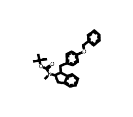 CN(C(=O)OC(C)(C)C)C1Cc2ccccc2C1Cc1ccc(OCc2ccccc2)cc1